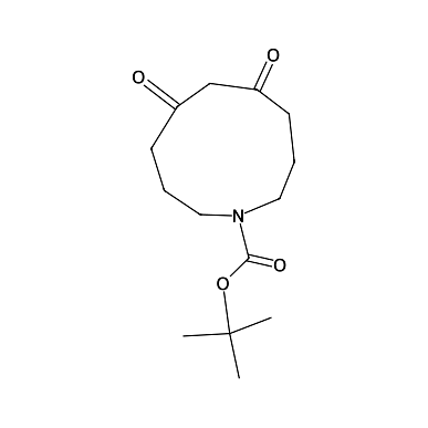 CC(C)(C)OC(=O)N1CCCC(=O)CC(=O)CCC1